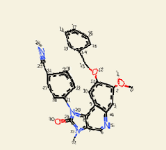 COc1cc2ncc3c(c2cc1OCc1ccccc1)n(-c1ccc(C#N)cc1)c(=O)n3C